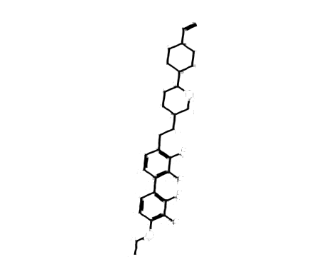 C=CC1CCC(C2CCC(CCc3ccc(-c4ccc(OCC)c(F)c4F)c(F)c3F)CO2)CC1